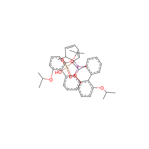 CC(C)Oc1cccc(OC(C)C)c1-c1ccccc1P(c1ccccc1-c1c(OC(C)C)cccc1OC(C)C)C1(S(=O)(=O)O)C=CC=CC1C